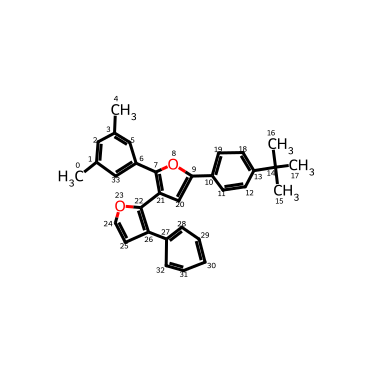 Cc1cc(C)cc(-c2oc(-c3ccc(C(C)(C)C)cc3)cc2-c2occc2-c2ccccc2)c1